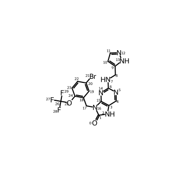 O=c1[nH]c2cnc(NCc3ccn[nH]3)nc2n1Cc1cc(Br)ccc1OC(F)(F)F